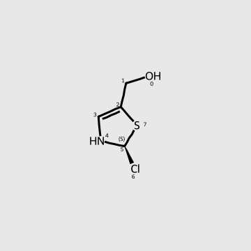 OCC1=CN[C@H](Cl)S1